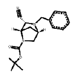 CC(C)(C)OC(=O)N1C[C@@H]2C[C@H]1[C@H](C#N)N2Cc1ccccc1